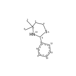 CC1(C)CCSC(c2ccccc2)N1